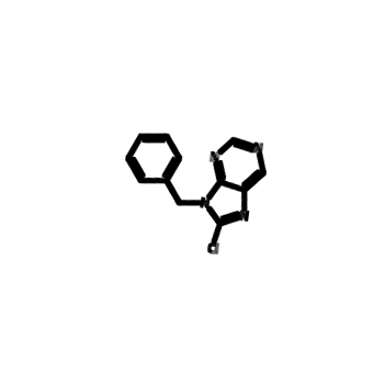 Clc1nc2cncnc2n1Cc1ccccc1